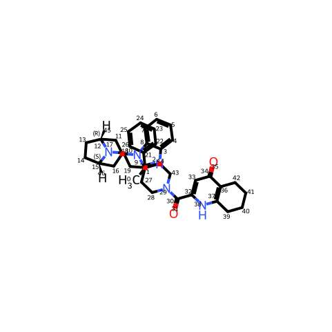 Cc1nc2ccccc2n1C1C[C@H]2CC[C@@H](C1)N2CCC1(c2ccccc2)CCN(C(=O)c2cc(=O)c3c([nH]2)CCCC3)CC1